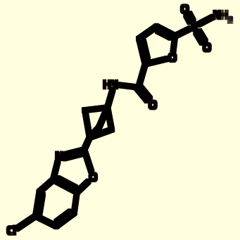 NS(=O)(=O)c1ccc(C(=O)NC23CC(c4nc5cc(Cl)ccc5o4)(C2)C3)o1